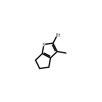 CCc1sc2c(c1C)CCC2